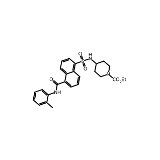 CCOC(=O)N1CCC(NS(=O)(=O)c2cccc3c(C(=O)Nc4ccccc4C)cccc23)CC1